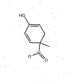 CC1([N+](=O)[O-])C=CC(O)=CC1